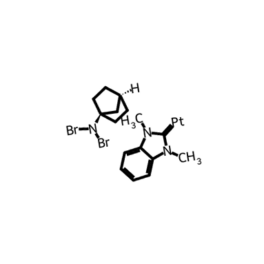 BrN(Br)[C@]12CC[C@@H](CC1)C2.Cn1[c](=[Pt])n(C)c2ccccc21